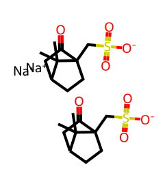 CC1(C)C2CCC1(CS(=O)(=O)[O-])C(=O)C2.CC1(C)C2CCC1(CS(=O)(=O)[O-])C(=O)C2.[Na+].[Na+]